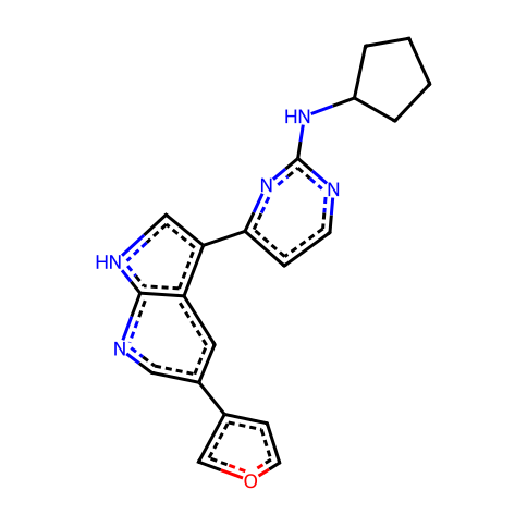 c1cc(-c2c[nH]c3ncc(-c4ccoc4)cc23)nc(NC2CCCC2)n1